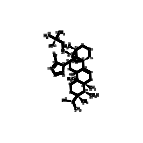 CC(C)[C@@H](C)[C@@]1(C)CC[C@]2(C)[C@H]3CC[C@@H]4[C@@]5(COC[C@]4(C)[C@@H](OC[C@](C)(N)C(C)C)[C@H](n4ncnc4Br)C5)C3=CC[C@@]2(C)[C@@H]1C(=O)O